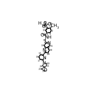 Cc1ccc(C(=O)NCc2cc3nc(-c4cccc(N5CC[C@@]6(CCO6)C5)n4)ccc3cn2)cc1S(C)(=O)=O